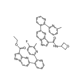 CCOC(=O)c1cnn2ccc(-c3cccnc3-c3ccc(F)c(C)n3)nc12.Cc1cccc(-c2ncccc2-c2ccn3ncc(C(=O)NC4COC4)c3n2)n1